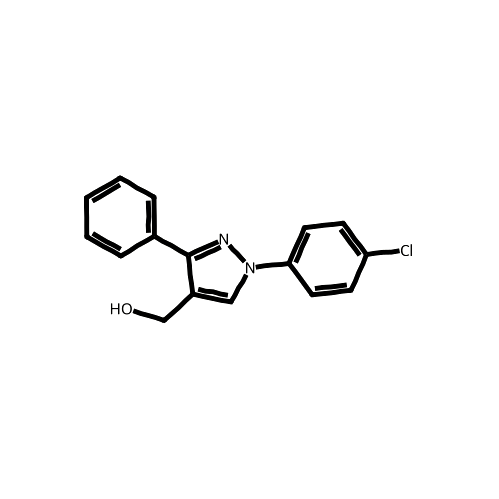 OCc1cn(-c2ccc(Cl)cc2)nc1-c1ccccc1